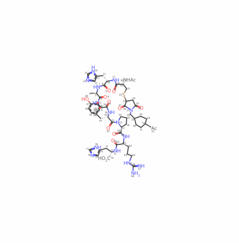 CC[C@H](C)C(NC(=O)[C@@H](C)NC(=O)[C@H](Cc1cnc[nH]1)NC(=O)[C@@H](CSC1CC(=O)N(CC2CCC(C(C)=O)CC2)C1=O)NC(C)=O)C(=O)N[C@@H](Cc1ccc(O)cc1)C(=O)N1CCC[C@H]1C(=O)N[C@@H](CCCNC(=N)N)C(=O)N[C@@H](Cc1cnc[nH]1)C(=O)O